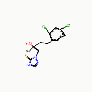 CC(C)(C)C(O)(CCc1ccc(Cl)cc1Cl)Cn1nc[nH]c1=S